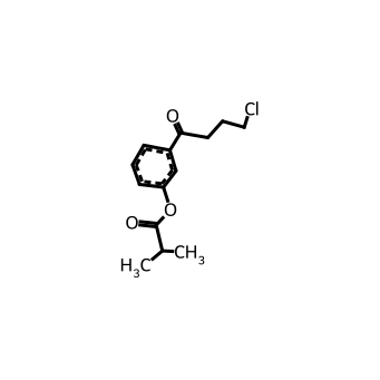 CC(C)C(=O)Oc1cccc(C(=O)CCCCl)c1